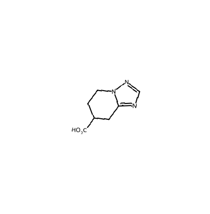 O=C(O)C1CCn2ncnc2C1